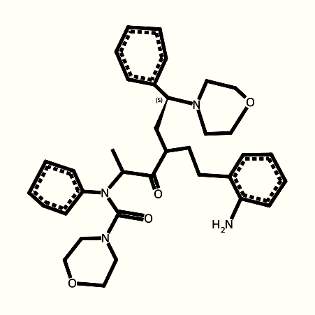 CC(C(=O)C(CCc1ccccc1N)C[C@@H](c1ccccc1)N1CCOCC1)N(C(=O)N1CCOCC1)c1ccccc1